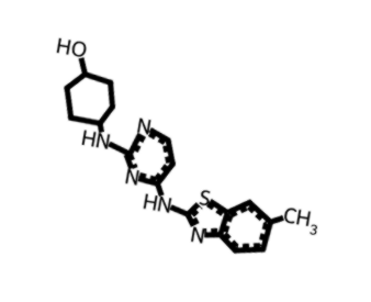 Cc1ccc2nc(Nc3ccnc(NC4CCC(O)CC4)n3)sc2c1